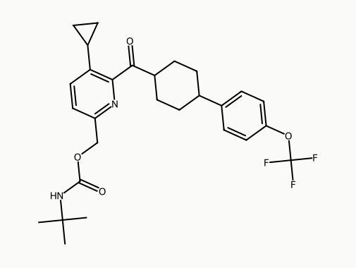 CC(C)(C)NC(=O)OCc1ccc(C2CC2)c(C(=O)C2CCC(c3ccc(OC(F)(F)F)cc3)CC2)n1